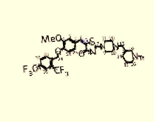 COc1cc(/C=C2/SC(N3CCN(CC4CCCN(C)C4)CC3)=NC2=O)ccc1OCc1ccc(C(F)(F)F)cc1C(F)(F)F